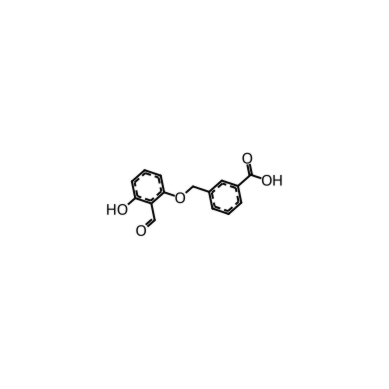 O=Cc1c(O)cccc1OCc1cccc(C(=O)O)c1